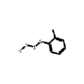 Cc1ccccc1SSS[S]